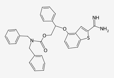 N=C(N)c1cc2c(OC(COC(=O)N(Cc3ccccc3)Cc3ccccc3)c3ccccc3)cccc2s1